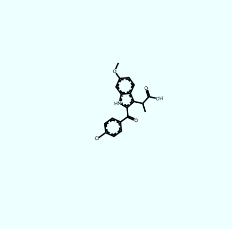 COc1ccc2c(C(C)C(=O)O)c(C(=O)c3ccc(Cl)cc3)[nH]c2c1